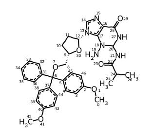 COc1ccc(C(OC[C@@H]2CC[C@H](n3cnc4c3N(N)C(NC(=O)C(C)C)NC4=O)O2)(c2ccccc2)c2ccc(OC)cc2)cc1